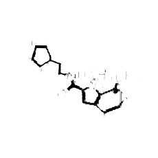 Cc1nccc2cc(C(=O)NCCC3CCCC3)n(C)c12